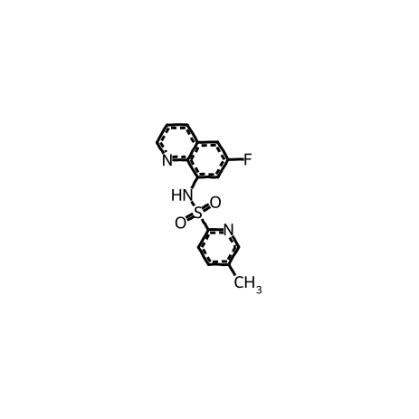 Cc1ccc(S(=O)(=O)Nc2cc(F)cc3cccnc23)nc1